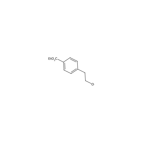 CCOC(=O)c1ccc(CC[O])cc1